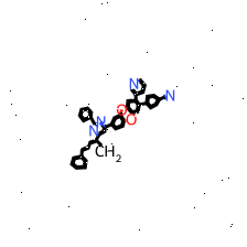 C=C/C(=C\C=C\c1ccccc1)c1cc(-c2ccc3c(c2)Oc2cc(-c4cccnc4)c(-c4ccc(C#N)cc4)cc2O3)nc(-c2ccccc2)n1